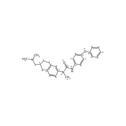 CN(C)CC1CCc2cc(N(C)C(=O)Nc3ccc(Oc4ccccc4)cc3)ccc2C1